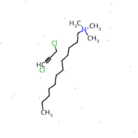 C#CCCl.CCCCCCCCCCCC[N+](C)(C)C.[Cl-]